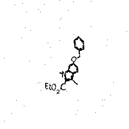 CCOC(=O)c1c(C)c2ccc(OCc3ccccc3)cc2n1C